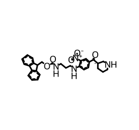 O=C(NCCCNc1ccc(C(=O)[C]2CCCNC2)cc1[N+](=O)[O-])OCC1c2ccccc2-c2ccccc21